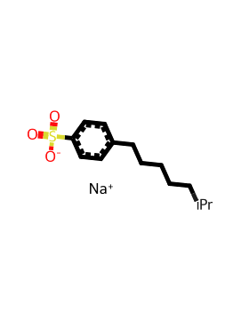 CC(C)CCCCCc1ccc(S(=O)(=O)[O-])cc1.[Na+]